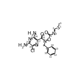 CSC=NC(=O)ON(Cc1ccccc1)C(=O)c1nc(Cl)c(N)nc1N